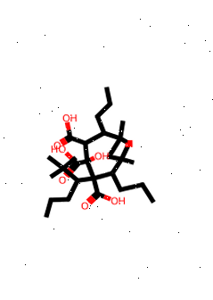 CCCC(C(C(=O)O)C(O)(C(=O)O)C(C(=O)O)(C(CCC)C(C)(C)C)C(CCC)C(C)(C)C)C(C)(C)C